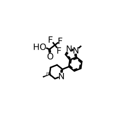 C[C@H]1CCC(c2cccc3c2cnn3C)=NC1.O=C(O)C(F)(F)F